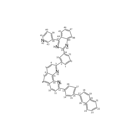 c1cc(-c2ccc3ccc4ccc(-c5ccc(-c6ccc7ccccc7c6)cc5)nc4c3n2)cc(-c2nc(-c3cccnc3)c3ccccc3n2)c1